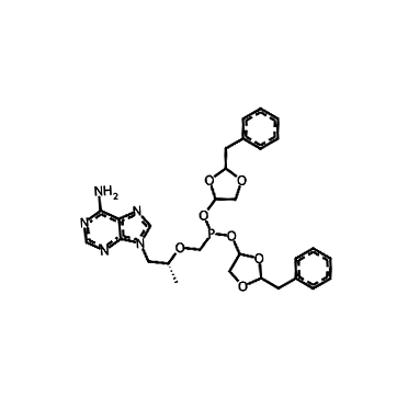 C[C@H](Cn1cnc2c(N)ncnc21)OCP(OC1COC(Cc2ccccc2)O1)OC1COC(Cc2ccccc2)O1